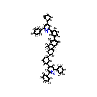 CC1(C)c2cc(-c3cccc(-c4cc(-c5ccccc5)nc(-c5ccccc5)c4)c3)ccc2-c2ccc(-c3cccc(-c4cc(-c5ccccc5)cc(-c5ccccc5)n4)c3)cc21